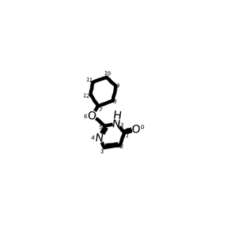 O=c1ccnc(OC2CCCCC2)[nH]1